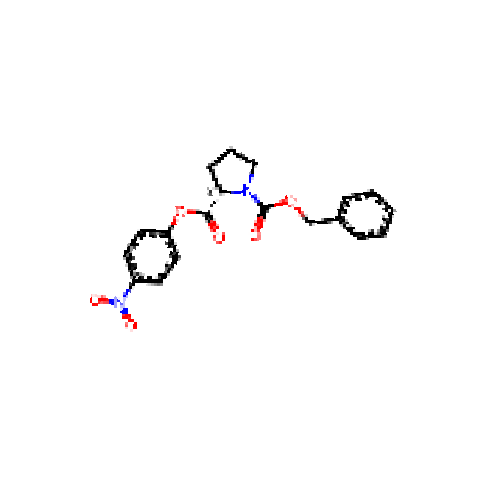 O=C(Oc1ccc([N+](=O)[O-])cc1)[C@@H]1CCCN1C(=O)OCc1ccccc1